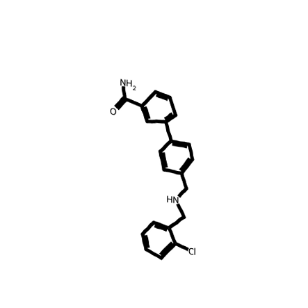 NC(=O)c1cccc(-c2ccc(CNCc3ccccc3Cl)cc2)c1